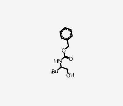 CCC(C)C(CO)NC(=O)OCc1ccccc1